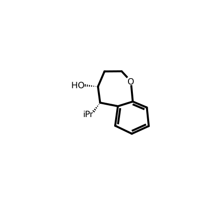 CC(C)[C@H]1c2ccccc2OCC[C@H]1O